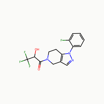 O=C(C(O)C(F)(F)F)N1CCc2c(cnn2-c2ccccc2F)C1